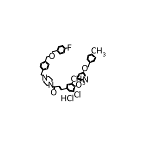 Cc1ccc(COc2ccc(Oc3c(C)cc(C=CC(=O)N4CCN(Cc5ccc(COCc6ccc(F)cc6)cc5)CC4)cc3Cl)nc2)cc1.Cl